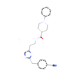 Cl.N#Cc1ccc(Cc2ncc(CCNC(=O)C3CCN(c4ccccc4)CC3)[nH]2)cc1